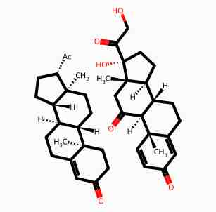 CC(=O)[C@H]1CC[C@H]2[C@@H]3CCC4=CC(=O)CC[C@]4(C)[C@H]3CC[C@]12C.C[C@]12C=CC(=O)C=C1CC[C@@H]1[C@@H]2C(=O)C[C@@]2(C)[C@H]1CC[C@]2(O)C(=O)CO